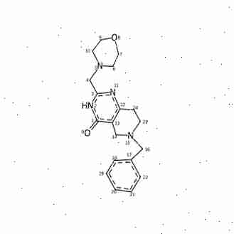 O=c1[nH]c(CN2CCOCC2)nc2c1CN(Cc1ccccc1)CC2